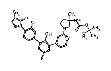 Cn1ccn(-c2ccc(-c3cc(F)cc(-c4ccnc(N5CCC(C)(NC(=O)OC(C)(C)C)C5)c4)c3O)cc2Cl)c1=O